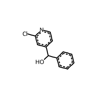 OC(c1ccccc1)c1ccnc(Cl)c1